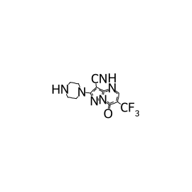 N#Cc1c(N2CCNCC2)nn2c(=O)c(C(F)(F)F)c[nH]c12